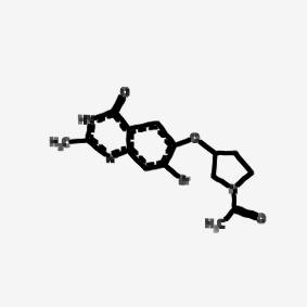 CC(=O)N1CCC(Oc2cc3c(=O)[nH]c(C)nc3cc2Br)C1